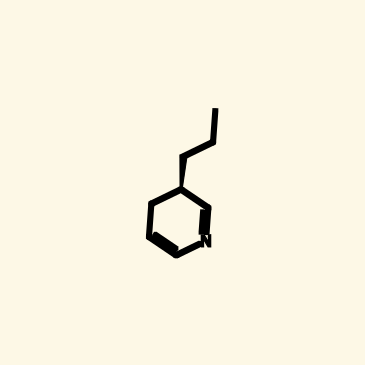 CCC[C@H]1C=NC=CC1